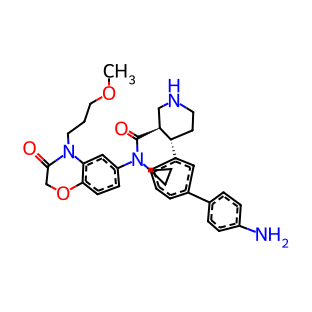 COCCCN1C(=O)COc2ccc(N(C(=O)[C@H]3CNCC[C@@H]3c3cccc(-c4ccc(N)cc4)c3)C3CC3)cc21